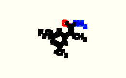 CC(C(N)=O)c1cc(C(F)(F)F)cc(C(F)(F)F)c1